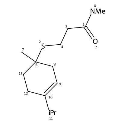 CNC(=O)CCSC1(C)CC=C(C(C)C)CC1